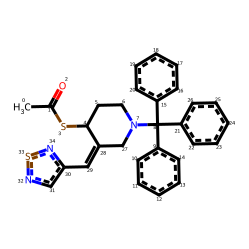 CC(=O)SC1CCN(C(c2ccccc2)(c2ccccc2)c2ccccc2)C/C1=C/c1cnsn1